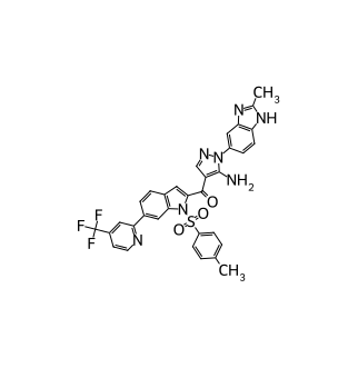 Cc1ccc(S(=O)(=O)n2c(C(=O)c3cnn(-c4ccc5[nH]c(C)nc5c4)c3N)cc3ccc(-c4cc(C(F)(F)F)ccn4)cc32)cc1